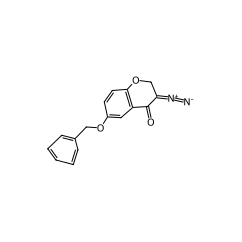 [N-]=[N+]=C1COc2ccc(OCc3ccccc3)cc2C1=O